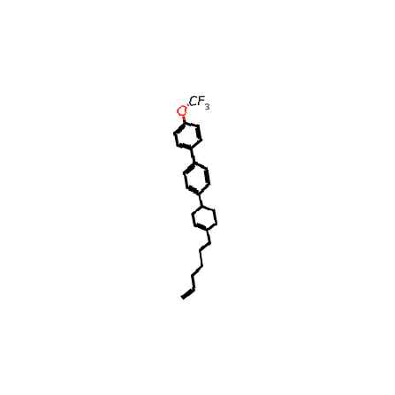 C=CCCCCC1=CCC(c2ccc(-c3ccc(OC(F)(F)F)cc3)cc2)CC1